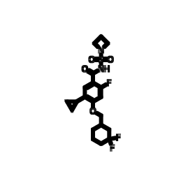 O=C(NS(=O)(=O)N1CCC1)c1cc(C2CC2)c(OCC2CCCC(F)(F)C2)cc1F